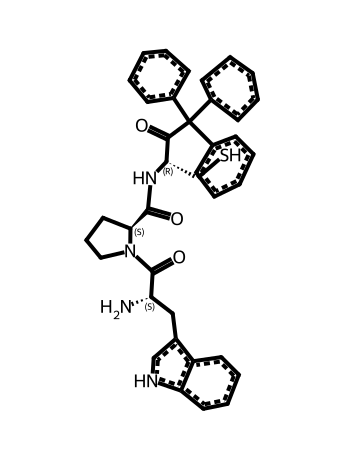 N[C@@H](Cc1c[nH]c2ccccc12)C(=O)N1CCC[C@H]1C(=O)N[C@@H](CS)C(=O)C(c1ccccc1)(c1ccccc1)c1ccccc1